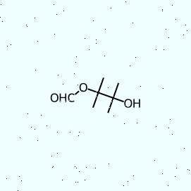 CC(C)(O)C(C)(C)OC=O